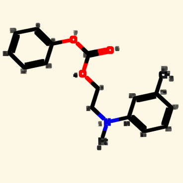 CCN(CCOC(=O)Oc1ccccc1)c1cccc(C(F)(F)F)c1